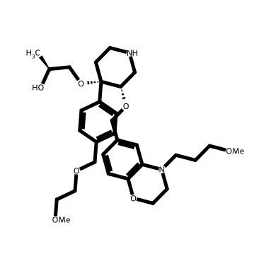 COCCCN1CCOc2ccc(CO[C@H]3CNCC[C@]3(OC[C@H](C)O)c3ccc(COCCOC)cc3)cc21